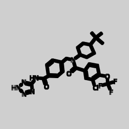 CC(C)(C)C1CCC(N(Cc2ccc(C(=O)Nc3nn[nH]n3)cc2)C(=O)c2ccc(OC(F)(F)F)c(Cl)c2)CC1